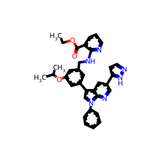 CCOC(=O)c1cccnc1NCc1cc(OC(C)C)cc(-c2cn(-c3ccccc3)c3ncc(-c4ccn[nH]4)cc23)c1